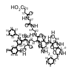 C[C@H](NC(=O)Cc1ccncc1)C(=O)N[C@H](CO)C(=O)N[C@@H](CC(N)=O)C(=O)N[C@@H](CCN(C(=O)CO)[C@@H](c1cc(-c2cc(F)ccc2F)cn1Cc1ccccc1)C(C)(C)C)C(=O)NCCNC(=O)CNC(=O)CCC(=O)O